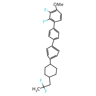 COc1ccc(-c2ccc(-c3ccc(C4CCC(CC(C)(F)F)CC4)cc3)cc2)c(F)c1F